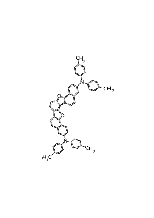 Cc1ccc(N(c2ccc(C)cc2)c2ccc3c(ccc4c5ccc6oc7c8ccc(N(c9ccc(C)cc9)c9ccc(C)cc9)cc8ccc7c6c5oc34)c2)cc1